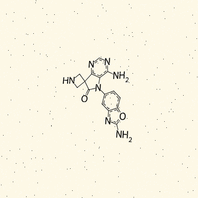 Nc1nc2cc(N3C(=O)C4(CNC4)c4ncnc(N)c43)ccc2o1